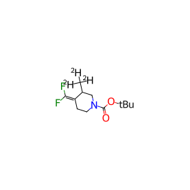 [2H]C([2H])([2H])C1CN(C(=O)OC(C)(C)C)CCC1=C(F)F